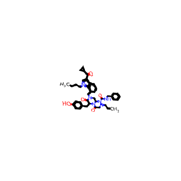 C=CCN1CC(=O)N2C(Cc3ccc(O)cc3)C(=O)N(Cc3cccc4c(C(=O)C5CC5)cn(CCCC)c34)CC2N1C(=O)NCc1ccccc1